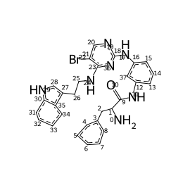 NC(Cc1ccccc1)C(=O)Nc1cccc(Nc2ncc(Br)c(NCCc3c[nH]c4ccccc34)n2)c1